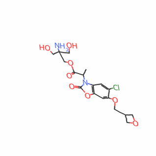 CC(C(=O)OCC(N)(CO)CO)n1c(=O)oc2cc(OCC3COC3)c(Cl)cc21